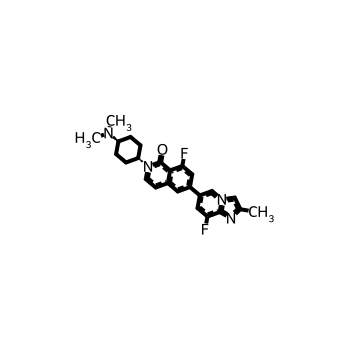 Cc1cn2cc(-c3cc(F)c4c(=O)n([C@H]5CC[C@H](N(C)C)CC5)ccc4c3)cc(F)c2n1